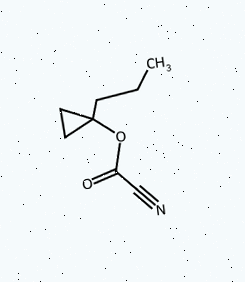 CCCC1(OC(=O)C#N)CC1